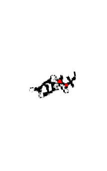 CCC(C)(C)C(=O)OC1C2OC(C)(C)OC1C1CC2OC1=O